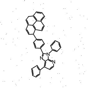 C1=CC(c2ccc(-c3nc4c(-c5ccccc5)ccnc4n3-c3ccccc3)cc2)c2ccc3cccc4c3c2C1=CC4